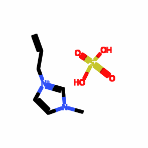 C=CC[n+]1ccn(C)c1.O=S(=O)(O)O